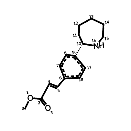 COC(=O)C=Cc1ccc([C@@H]2CCCCCN2)cc1